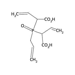 C=CCP(=O)(C(C=C)C(=O)O)C(C=C)C(=O)O